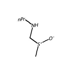 CCCNC[S+](C)[O-]